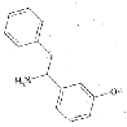 NC(Cc1ccccc1)c1cccc(O)c1